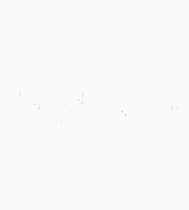 CC(C)(C)OC(=O)NCCNC(=O)CNC=O